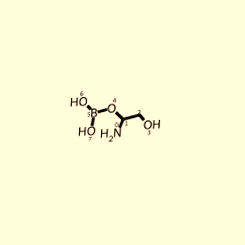 NC(CO)OB(O)O